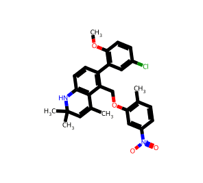 COc1ccc(Cl)cc1-c1ccc2c(c1COc1cc([N+](=O)[O-])ccc1C)C(C)=CC(C)(C)N2